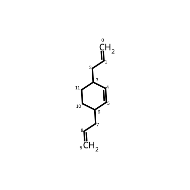 C=CCC1C=CC(CC=C)CC1